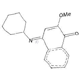 COC1=C/C(=N\C2CCCCC2)c2ccccc2C1=O